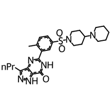 CCCc1n[nH]c2c(=O)[nH]c(-c3cc(S(=O)(=O)N4CCC(N5CCCCC5)CC4)ccc3C)nc12